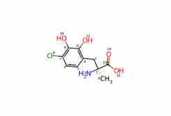 C[C@](N)(Cc1ccc(Cl)c(O)c1O)C(=O)O